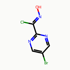 ON=C(Cl)c1ncc(Br)cn1